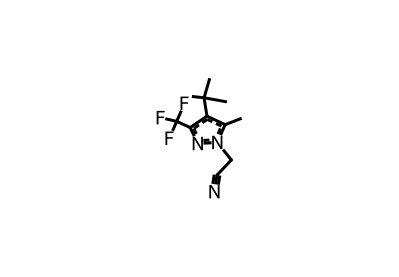 Cc1c(C(C)(C)C)c(C(F)(F)F)nn1CC#N